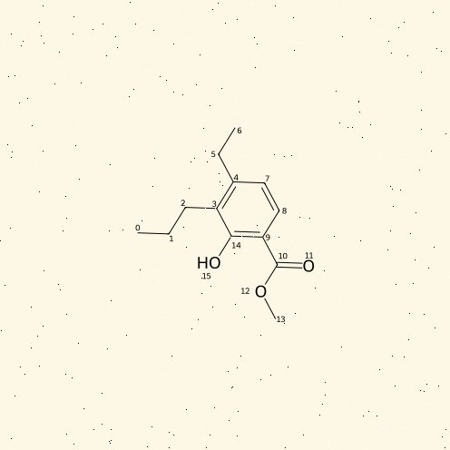 CCCc1c(CC)ccc(C(=O)OC)c1O